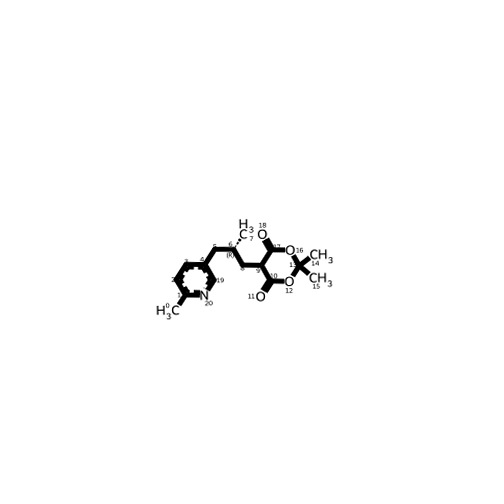 Cc1ccc(C[C@H](C)CC2C(=O)OC(C)(C)OC2=O)cn1